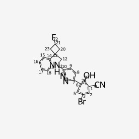 N#Cc1cc(Br)cc(-c2ccc(NCC3(c4ccccn4)CC(F)C3)nn2)c1O